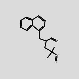 CC(C)(CC(C=O)Cc1cccc2ccccc12)[S+]=O